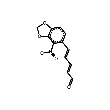 O=CC=CC=Cc1ccc2c(c1[N+](=O)[O-])OCO2